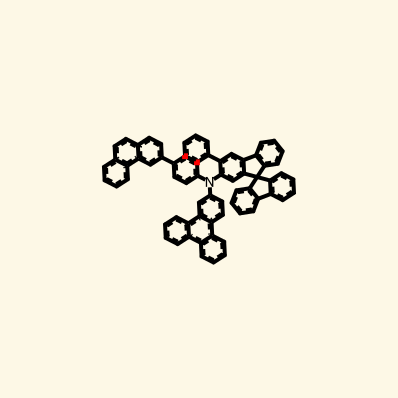 c1ccc(-c2cc3c(cc2N(c2ccc(-c4ccc5ccc6ccccc6c5c4)cc2)c2ccc4c5ccccc5c5ccccc5c4c2)C2(c4ccccc4-c4ccccc42)c2ccccc2-3)cc1